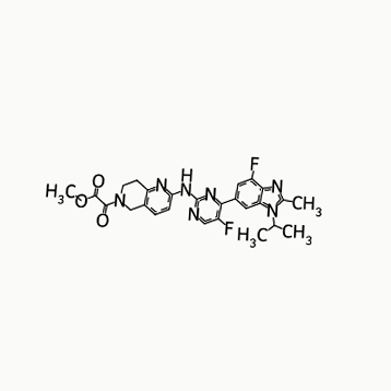 COC(=O)C(=O)N1CCc2nc(Nc3ncc(F)c(-c4cc(F)c5nc(C)n(C(C)C)c5c4)n3)ccc2C1